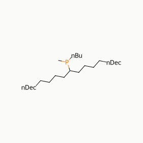 CCCCCCCCCCCCCCC(CCCCCCCCCCCCCC)P(C)CCCC